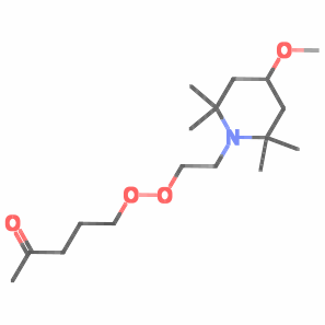 COC1CC(C)(C)N(CCOOCCCC(C)=O)C(C)(C)C1